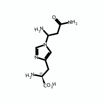 NC(=O)CC(N)n1cnc(C[C@H](N)C(=O)O)c1